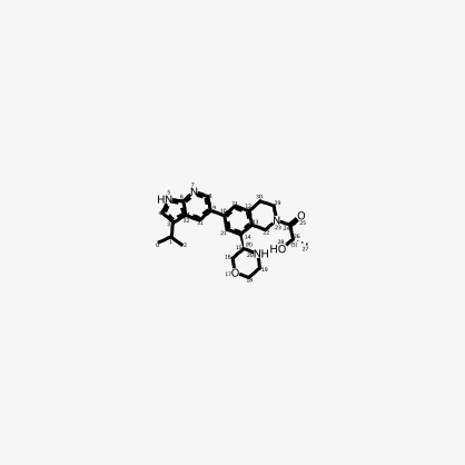 CC(C)c1c[nH]c2ncc(-c3cc4c(c([C@@H]5COCCN5)c3)CN(C(=O)[C@H](C)O)CC4)cc12